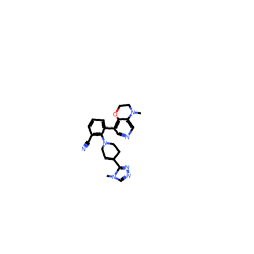 CN1CCOc2c(-c3cccc(C#N)c3N3CCC(c4nncn4C)CC3)cncc21